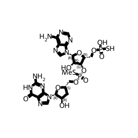 CSP(=O)(OC[C@@H]1C[C@@H](O)[C@H](n2cnc3c(=O)[nH]c(N)nc32)O1)O[C@H]1[C@@H](O)[C@H](n2cnc3c(N)ncnc32)O[C@@H]1COP(=O)(O)S